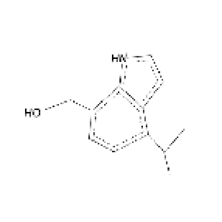 CC(C)c1ccc(CO)c2[nH]ccc12